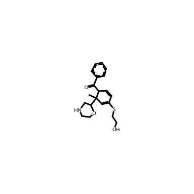 CC1(C2CNCCO2)C=C(SCCO)C=CC1C(=O)c1ccccc1